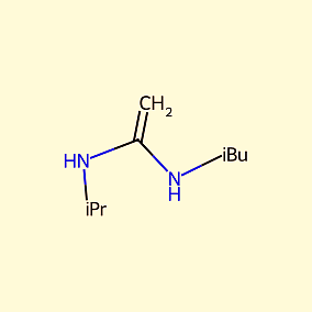 C=C(NC(C)C)NC(C)CC